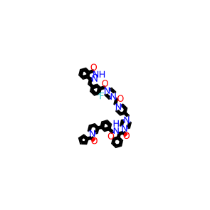 O=C(N[C@@H](C(=O)N1CCN(CC2CCN(CC(=O)N3CCN(C(=O)c4cc(Cc5n[nH]c(=O)c6ccccc56)ccc4F)CC3)CC2)CC1)C1CCCCC1)c1cccc(C2CCCN(C(=O)C3CCCC3)C2)c1